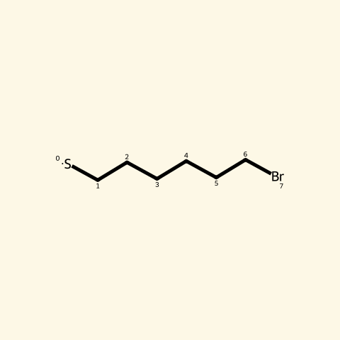 [S]CCCCCCBr